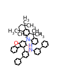 CC1(C)CCC(C)(C)c2cc3c(cc21)N1c2cc4oc5ccccc5c4c(-c4cc(-c5ccccc5)ccc4Nc4cccc(-c5ccccc5)c4)c2Bc2cccc(c21)C3(C)C